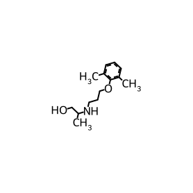 Cc1cccc(C)c1OCCCNC(C)CO